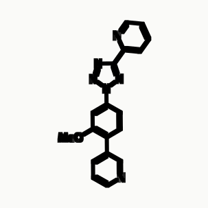 COc1cc(-n2nnc(-c3ccccn3)n2)ccc1-c1cccnc1